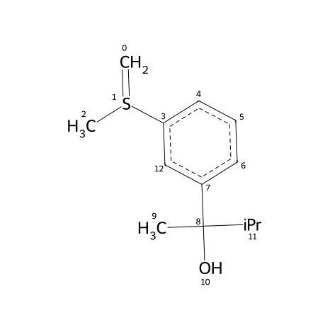 C=S(C)c1cccc(C(C)(O)C(C)C)c1